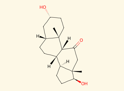 C[C@]12CC[C@@H](O)C[C@H]1CC[C@@H]1[C@H]2C(=O)C[C@]2(C)[C@@H](O)CC[C@@H]12